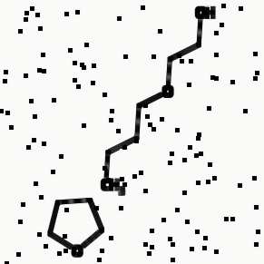 C1CCOC1.CCCCOCCO